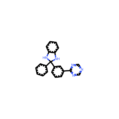 c1ccc(C2(c3cccc(-c4ncncn4)c3)Nc3ccccc3N2)cc1